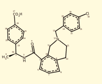 C[C@H](NC(=O)c1cccc2c1CN(Cc1ccc(Cl)cc1)CC2)c1ccc(C(=O)O)cc1